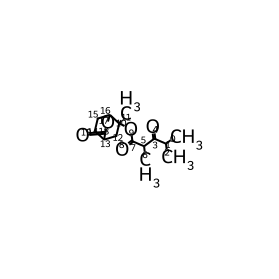 CC(C)C(=O)C(C)C(=O)OC1(C)CC2CCC1OC2=O